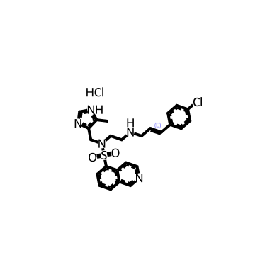 Cc1[nH]cnc1CN(CCNC/C=C/c1ccc(Cl)cc1)S(=O)(=O)c1cccc2cnccc12.Cl